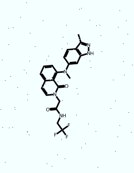 Cc1n[nH]c2cc(N(C)c3cccc4ccn(CC(=O)NCC(F)(F)F)c(=O)c34)ccc12